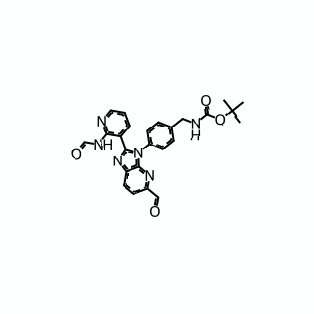 CC(C)(C)OC(=O)NCc1ccc(-n2c(-c3cccnc3NC=O)nc3ccc(C=O)nc32)cc1